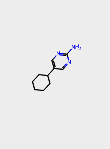 Nc1ncc(C2CCCCC2)cn1